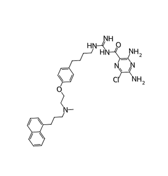 CN(CCCc1cccc2ccccc12)CCOc1ccc(CCCCNC(=N)NC(=O)c2nc(Cl)c(N)nc2N)cc1